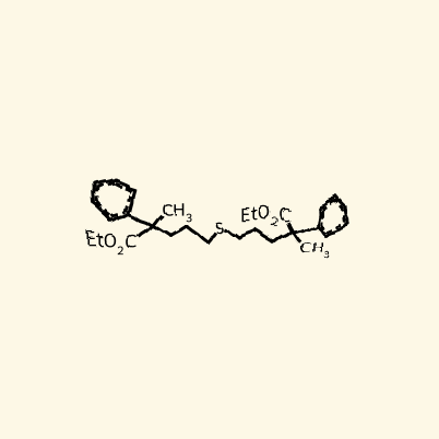 CCOC(=O)C(C)(CCCSCCCC(C)(C(=O)OCC)c1ccccc1)c1ccccc1